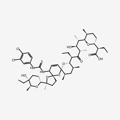 CC[C@@H](C(=O)[C@@H](C)[C@@H](O)[C@H](C)[C@@H]1O[C@@H]([C@@H](CC)C(=O)O)CC[C@@H]1C)[C@H]1O[C@]2(C=CC(NC(=S)Nc3ccc(Cl)c(Cl)c3)[C@]3(CC[C@@](C)([C@H]4CC[C@](O)(CC)[C@H](C)O4)O3)O2)[C@H](C)C[C@@H]1C